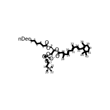 CCCCCCCCCCCCCCCC(=O)OC[C@H](COP(=O)([O-])OCC[N+](C)(C)C)OC(=O)C=C(C)C=CC=C(C)C=CC1=C(C)CCCC1(C)C